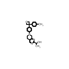 Cc1ccc(C2(c3ccc(N4CCc5cnc(C(C)O)nc5C4)cc3)COC2)cc1